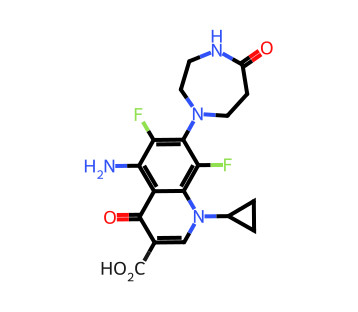 Nc1c(F)c(N2CCNC(=O)CC2)c(F)c2c1c(=O)c(C(=O)O)cn2C1CC1